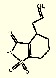 C=CCC1CCCC2=C1C(=O)NS2(=O)=O